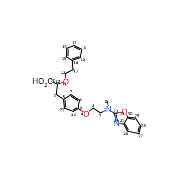 CN(CCOc1ccc(CC(OCCc2ccccc2)C(=O)O)cc1)c1nc2ccccc2o1